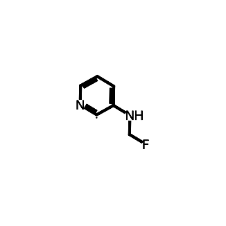 FCNc1[c]nccc1